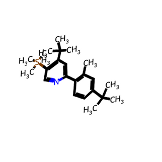 Cc1cc(C(C)(C)C)ccc1-c1cc(C(C)(C)C)c(S(C)(C)C)cn1